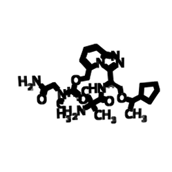 CC(OC[C@@H](NC(=O)C(C)(C)N)c1nnc2cccc(COC(=O)N(C)CC(N)=O)n12)C1CCCC1